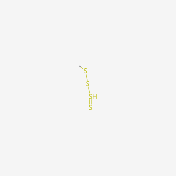 CSS[SH]=S